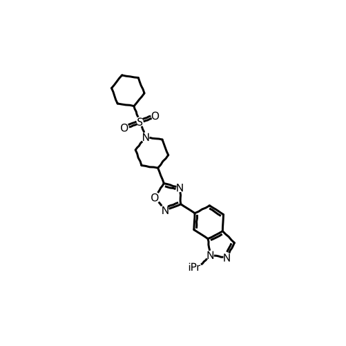 CC(C)n1ncc2ccc(-c3noc(C4CCN(S(=O)(=O)C5CCCCC5)CC4)n3)cc21